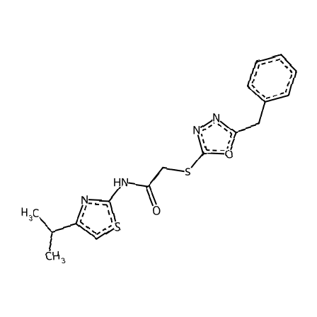 CC(C)c1csc(NC(=O)CSc2nnc(Cc3ccccc3)o2)n1